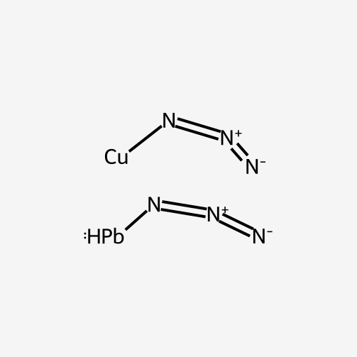 [N-]=[N+]=[N][Cu].[N-]=[N+]=[N][PbH]